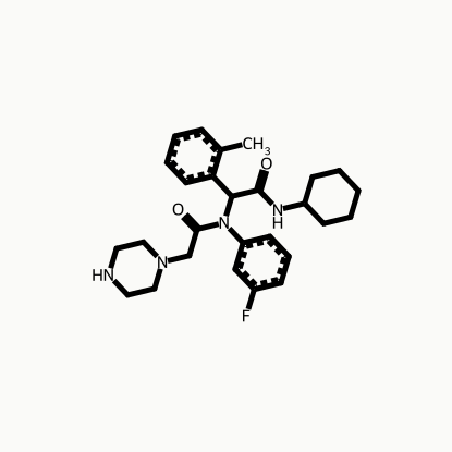 Cc1ccccc1C(C(=O)NC1CCCCC1)N(C(=O)CN1CCNCC1)c1cccc(F)c1